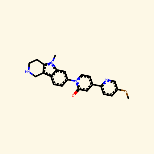 CSc1ccc(-c2ccn(-c3ccc4c5c(n(C)c4c3)CCNC5)c(=O)c2)nc1